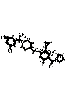 O=C(O)[C@@H]1CCCN1C(=O)c1cc(C2CC2)c(OCC2CCN([C@@H](c3cc(Cl)cc(Cl)c3)C(F)(F)F)CC2)cc1F